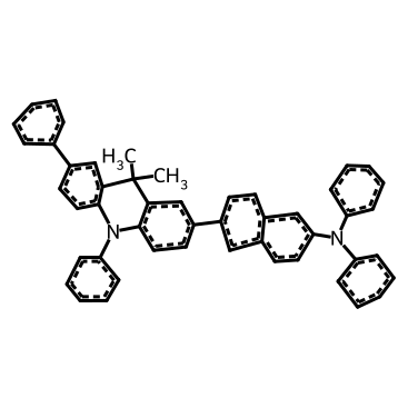 CC1(C)c2cc(-c3ccccc3)ccc2N(c2ccccc2)c2ccc(-c3ccc4cc(N(c5ccccc5)c5ccccc5)ccc4c3)cc21